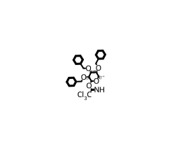 C[C@@H]1OC(OC(=N)C(Cl)(Cl)Cl)[C@@H](OCc2ccccc2)[C@H](OCc2ccccc2)[C@@H]1OCc1ccccc1